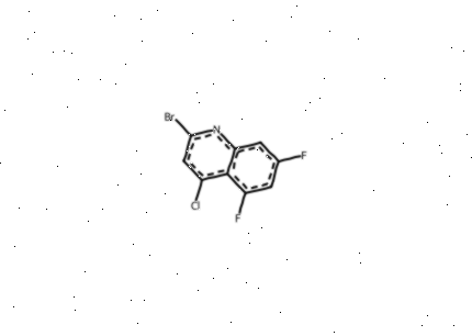 Fc1cc(F)c2c(Cl)cc(Br)nc2c1